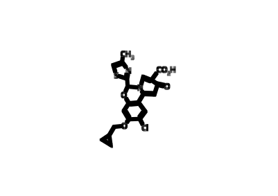 Cc1csc(C2Oc3cc(OCC4CC4)c(Cl)cc3-c3cc(=O)c(C(=O)O)cn32)n1